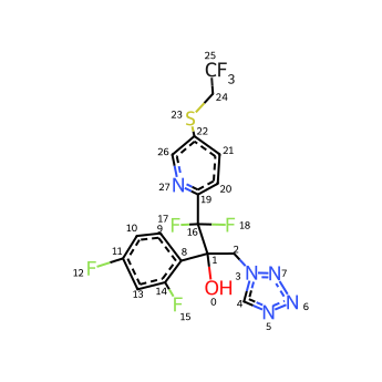 OC(Cn1cnnn1)(c1ccc(F)cc1F)C(F)(F)c1ccc(SCC(F)(F)F)cn1